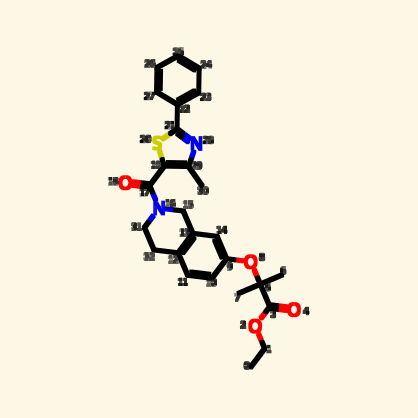 CCOC(=O)C(C)(C)Oc1ccc2c(c1)CN(C(=O)c1sc(-c3ccccc3)nc1C)CC2